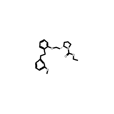 CCOC(=O)N1CCC[C@H]1CCOc1ccccc1CCc1cccc(OC)c1